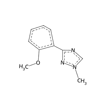 COc1ccccc1-c1ncn(C)n1